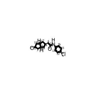 O=C1C[C@@H]2C[C@H](CC(=O)Nc3ccc(Cl)cc3)C[C@@H]2C1